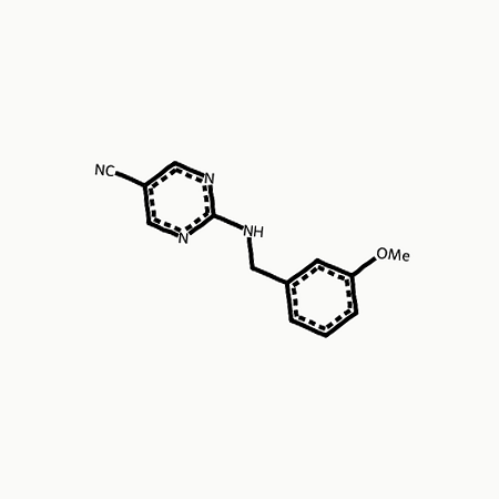 COc1cccc(CNc2ncc(C#N)cn2)c1